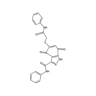 O=C(CSC1=CC(=O)c2[nH]nc(C(=O)Nc3ccccc3)c2C1=O)Nc1ccccc1